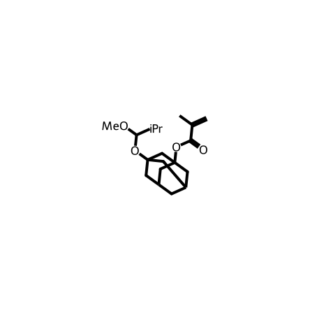 C=C(C)C(=O)OC12CC3CC(C1)CC(OC(OC)C(C)C)(C3)C2